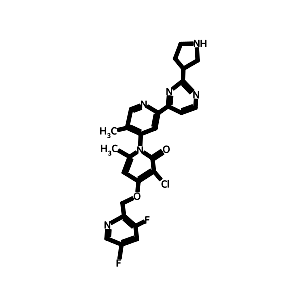 Cc1cnc(-c2ccnc(C3CCNC3)n2)cc1-n1c(C)cc(OCc2ncc(F)cc2F)c(Cl)c1=O